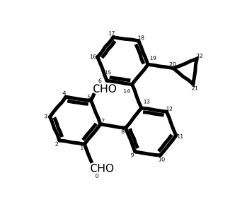 O=Cc1cccc(C=O)c1-c1ccccc1-c1ccccc1C1CC1